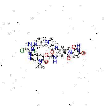 CNC(=O)COc1cc2c(F)c(Nc3nc(N4CCC(CN5CCC6(CC5)CN(c5ccc7c(c5)CN(C5CCC(=O)NC5=O)C7=O)C6)CC4)ncc3Cl)ccc2n(C(C)C)c1=O